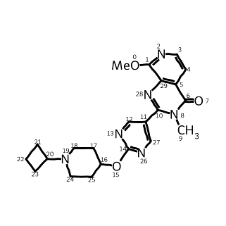 COc1nccc2c(=O)n(C)c(-c3cnc(OC4CCN(C5CCC5)CC4)nc3)nc12